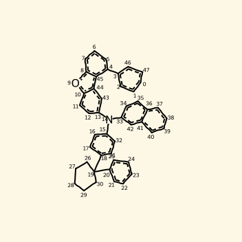 c1ccc(-c2cccc3oc4ccc(N(c5ccc(C6(c7ccccc7)CCCCC6)cc5)c5ccc6ccccc6c5)cc4c23)cc1